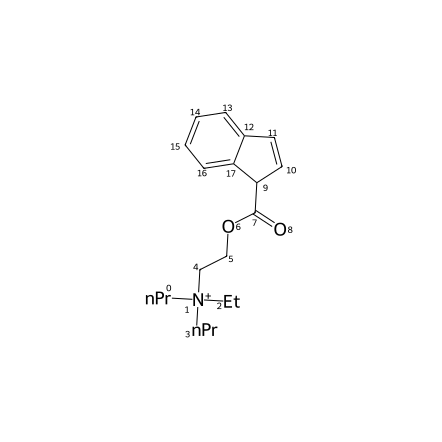 CCC[N+](CC)(CCC)CCOC(=O)C1C=Cc2ccccc21